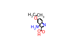 CC(C)Oc1ccc2ncc(C(=O)O)c(N)c2c1